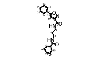 O=C(NCCCNC(=O)c1cc(-c2ccccc2)on1)c1ccccc1